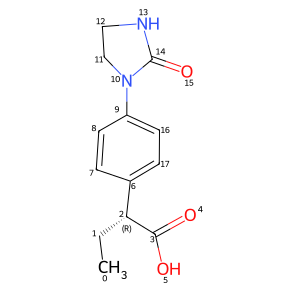 CC[C@@H](C(=O)O)c1ccc(N2CCNC2=O)cc1